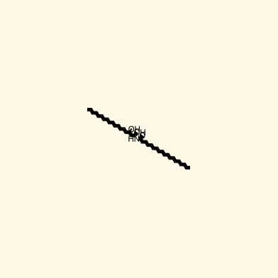 CCCCCCCCCCCCCCCCCCC(=O)NC(O)C[C@H](O)CCCCCCCCCCCCCCC